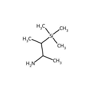 CC(N)C(C)[Si](C)(C)C